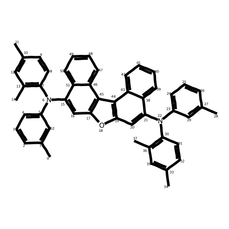 Cc1cccc(N(c2ccc(C)cc2C)c2cc3oc4cc(N(c5cccc(C)c5)c5ccc(C)cc5C)c5ccccc5c4c3c3ccccc23)c1